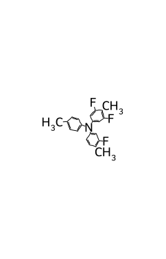 Cc1ccc(N(c2ccc(C)c(F)c2)c2cc(F)c(C)c(F)c2)cc1